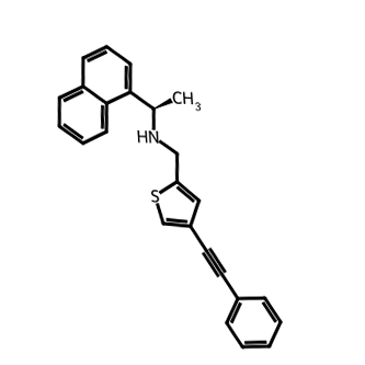 C[C@@H](NCc1cc(C#Cc2ccccc2)cs1)c1cccc2ccccc12